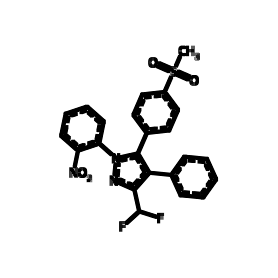 CS(=O)(=O)c1ccc(-c2c(-c3ccccc3)c(C(F)F)nn2-c2ccccc2[N+](=O)[O-])cc1